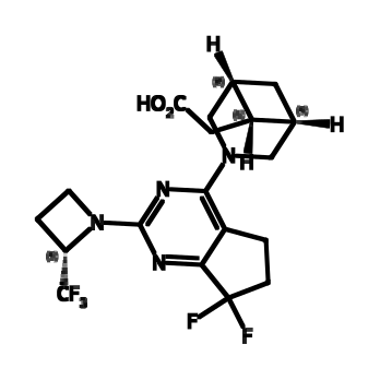 O=C(O)C[C@H]1[C@@H]2C[C@H]1CN(c1nc(N3CC[C@H]3C(F)(F)F)nc3c1CCC3(F)F)C2